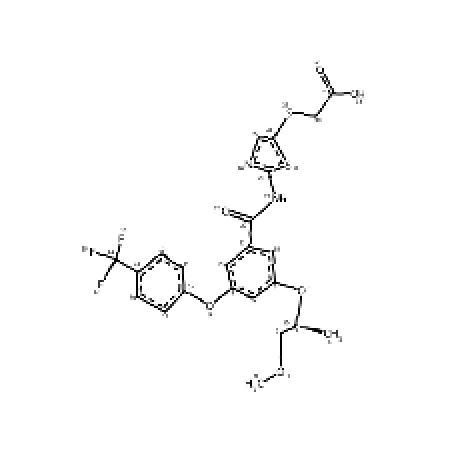 COC[C@H](C)Oc1cc(Oc2ccc(C(F)(F)F)cc2)cc(C(=O)Nc2ncc(SCC(=O)O)s2)c1